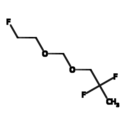 CC(F)(F)COCOCCF